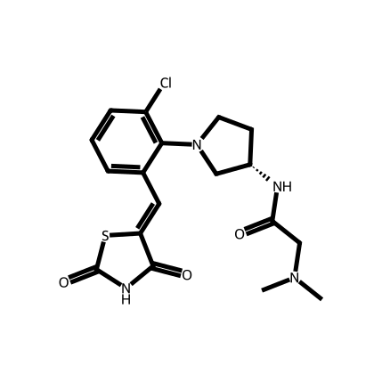 CN(C)CC(=O)N[C@H]1CCN(c2c(Cl)cccc2/C=C2\SC(=O)NC2=O)C1